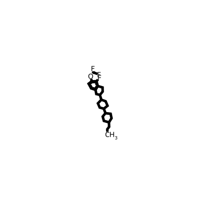 CCCC1CCC(C2CCC(C3CCc4c(ccc(OC(F)F)c4F)C3)CC2)CC1